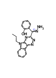 CCCn1c2ccccc2c2nnc(/C(=N/N)c3ccccc3O)nc21